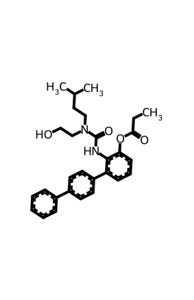 CCC(=O)Oc1cccc(-c2ccc(-c3ccccc3)cc2)c1NC(=O)N(CCO)CCC(C)C